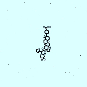 CC1(C)C(c2ccc(C(=O)O)cc2)=CC[C@@]2(C)C1CC[C@]1(C)C2CC[C@@H]2C3CCC[C@]3(NC(=O)C(c3cccs3)N3CCS(=O)(=O)CC3)CC[C@]21C